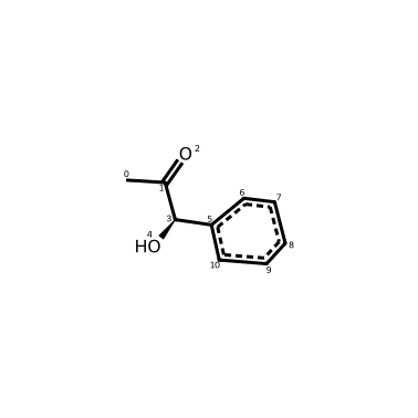 CC(=O)[C@H](O)c1ccccc1